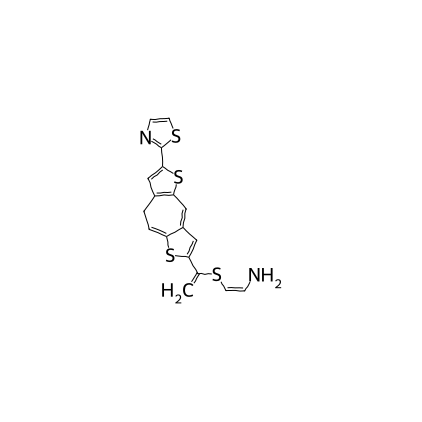 C=C(S/C=C\N)c1cc2c(s1)=CCc1cc(-c3nccs3)sc1C=2